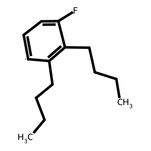 CCCCc1[c]ccc(F)c1CCCC